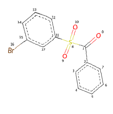 O=C(c1ccccc1)S(=O)(=O)c1cccc(Br)c1